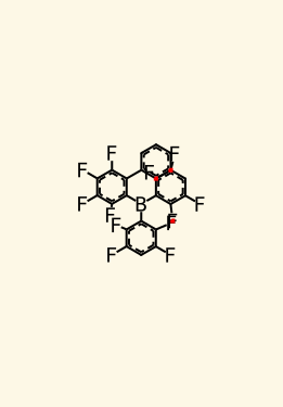 Fc1cc(F)c(F)c(B(c2c(F)c(F)cc(F)c2F)c2c(F)c(F)c(F)c(F)c2-c2ccccc2)c1F